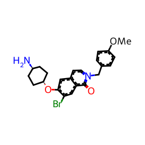 COc1ccc(Cn2ccc3cc(O[C@H]4CC[C@H](N)CC4)c(Br)cc3c2=O)cc1